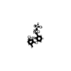 Cc1ccc(Cl)c(Nc2ccccc2-c2nnc(S(C)(=O)=O)o2)c1Cl